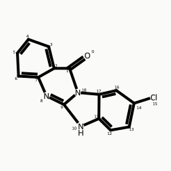 O=c1c2ccccc2nc2[nH]c3ccc(Cl)cc3n12